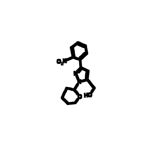 O=[N+]([O-])c1ccccc1-c1cc(CO)n(C2CCCCO2)n1